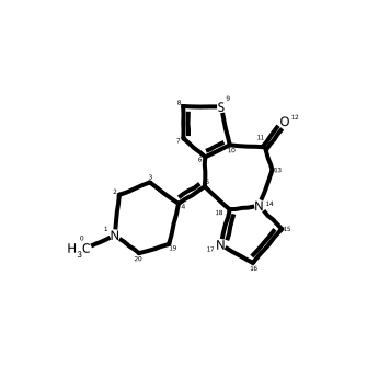 CN1CCC(=C2c3ccsc3C(=O)Cn3ccnc32)CC1